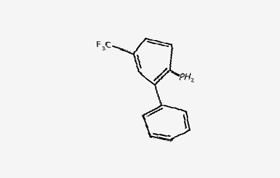 FC(F)(F)c1ccc(P)c(-c2ccccc2)c1